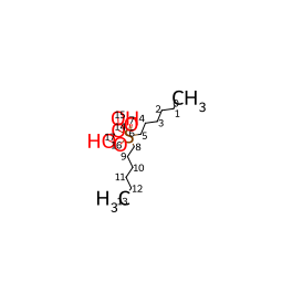 CCCCCCS(=O)(CCCCCC)(OO)OO